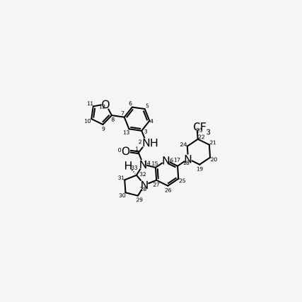 O=C(Nc1cccc(-c2ccco2)c1)N1c2nc(N3CCCC(C(F)(F)F)C3)ccc2N2CCC[C@H]21